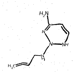 C=CCNN1N=C(N)C=CN1